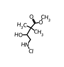 COC(=O)C(C)(C)C(O)CNCl